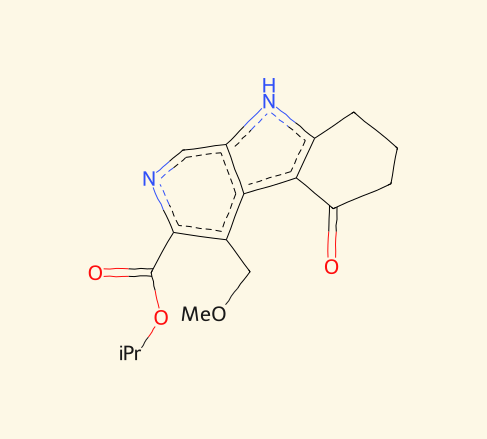 COCc1c(C(=O)OC(C)C)ncc2[nH]c3c(c12)C(=O)CCC3